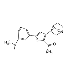 CNc1cccc(-c2cc(C3CN4CCC3CC4)c(C(N)=O)s2)c1